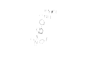 CCN(CC)CCNC(=O)c1ccc(-c2ccc(/C=C3/C(=O)Nc4ccc(F)cc43)o2)cc1